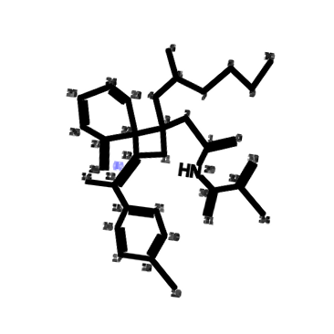 C=C(CC1(CC(C)CCCC)C/C(=C(/C)c2ccc(C)cc2)C12C=CC=CC2=C)NC(=C)C(=C)C